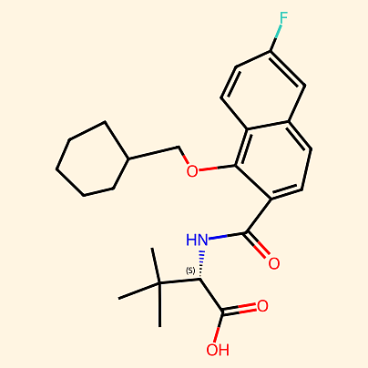 CC(C)(C)[C@H](NC(=O)c1ccc2cc(F)ccc2c1OCC1CCCCC1)C(=O)O